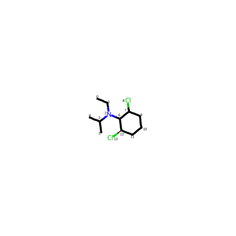 CCN(C(C)C)C1C(Cl)CCC[C@H]1Cl